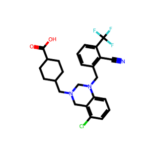 N#Cc1c(CN2CN(CC3CCC(C(=O)O)CC3)Cc3c(Cl)cccc32)cccc1C(F)(F)F